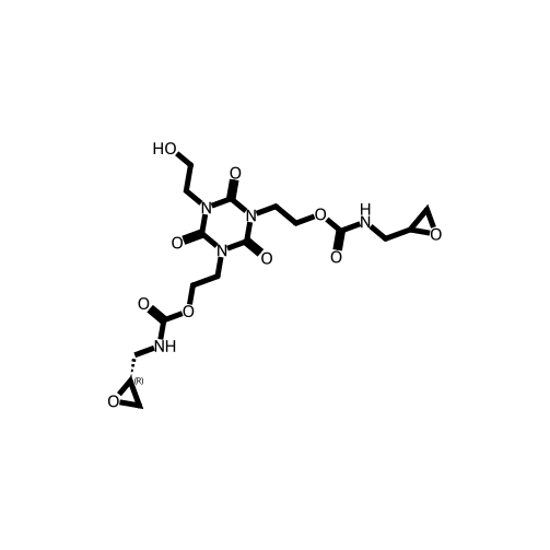 O=C(NCC1CO1)OCCn1c(=O)n(CCO)c(=O)n(CCOC(=O)NC[C@@H]2CO2)c1=O